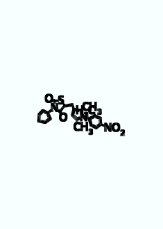 Cc1cc([N+](=O)[O-])ccc1-n1c(C)cc(C=C2SC(=O)N(c3ccccc3)C2=O)c1C